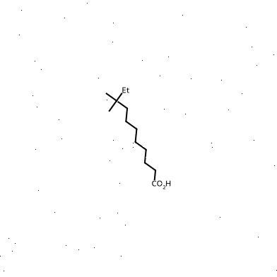 CCC(C)(C)CCCCCCCC(=O)O